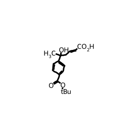 CC(C)(C)OC(=O)c1ccc(C(C)(O)CC=CC(=O)O)cc1